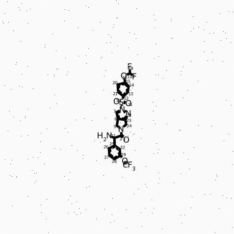 NC(C(=O)N1Cc2cn(S(=O)(=O)c3ccc(OC(F)F)cc3)nc2C1)c1cccc(OC(F)(F)F)c1